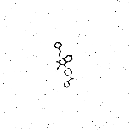 N#Cc1c(N2CCN(C(=O)C3=CCCO3)CC2)c2ccccc2n(CCc2ccccc2)c1=O